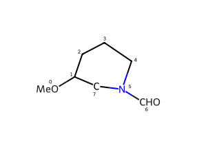 COC1CCCN(C=O)C1